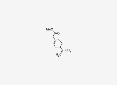 C=C(C)C1CC=C(CC(=O)OC)CC1